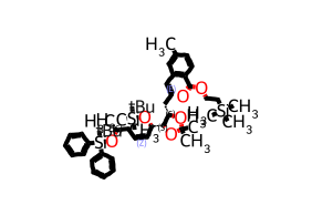 Cc1ccc(C(=O)OCC[Si](C)(C)C)c(/C=C/C[C@@H]2OC(C)(C)O[C@@H]2C(/C=C\C[C@H](C)O[Si](c2ccccc2)(c2ccccc2)C(C)(C)C)O[Si](C)(C)C(C)(C)C)c1